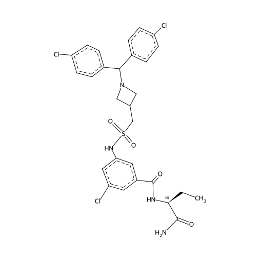 CC[C@H](NC(=O)c1cc(Cl)cc(NS(=O)(=O)CC2CN(C(c3ccc(Cl)cc3)c3ccc(Cl)cc3)C2)c1)C(N)=O